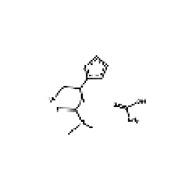 CN(C)C(=S)OC(C[N+](=O)[O-])c1cccs1.NC(O)=S